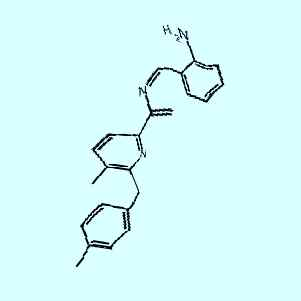 C=C(/N=C\c1ccccc1N)c1ccc(C)c(Cc2ccc(C)cc2)n1